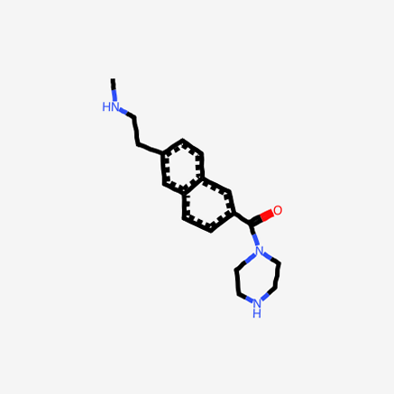 CNCCc1ccc2cc(C(=O)N3CCNCC3)ccc2c1